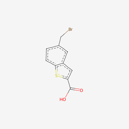 O=C(O)c1cc2cc(CBr)ccc2s1